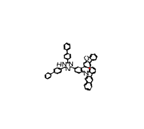 c1ccc(-c2ccc(C3=NC(c4ccc(-n5c6ccccc6c6cc7ccccc7cc65)c(-c5ccc6c(c5)oc5ccccc56)c4)=NC(c4ccc(-c5ccccc5)cc4)N3)cc2)cc1